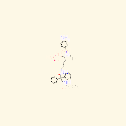 COC(=O)NCC(C(=O)NCCCCC(COP(=O)(O)O)N(CC(C)C)S(=O)(=O)c1ccc(N)cc1)(c1ccccc1)c1ccccc1